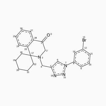 O=C1CN(Cc2cn(-c3cccc(Br)c3)nn2)C2(CCCCC2)c2ccccc21